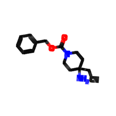 N#CCC1(N)CCN(C(=O)OCc2ccccc2)CC1